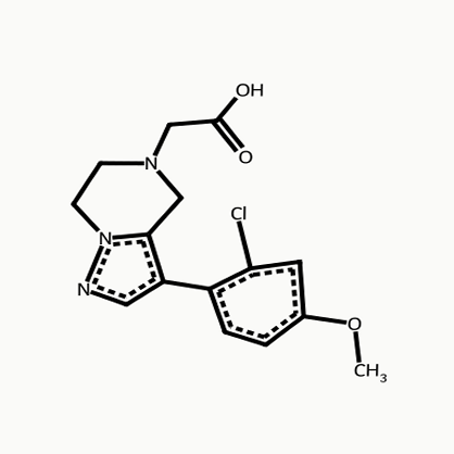 COc1ccc(-c2cnn3c2CN(CC(=O)O)CC3)c(Cl)c1